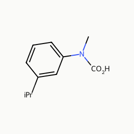 CC(C)c1cccc(N(C)C(=O)O)c1